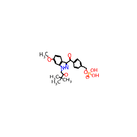 COc1ccc2c(C(=O)c3ccc(COP(=O)(O)O)cc3)nn(CC(=O)C(C)(C)C)c2c1